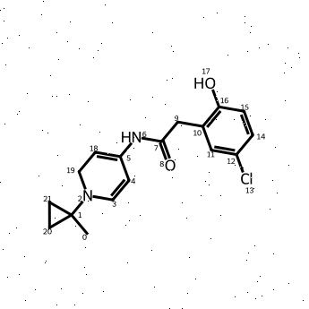 CC1(N2C=CC(NC(=O)Cc3cc(Cl)ccc3O)=CC2)CC1